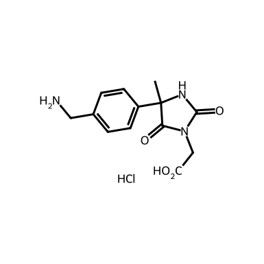 CC1(c2ccc(CN)cc2)NC(=O)N(CC(=O)O)C1=O.Cl